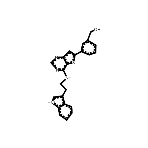 OCc1cccc(-c2cc3ncnc(NCCc4c[nH]c5ccccc45)c3s2)c1